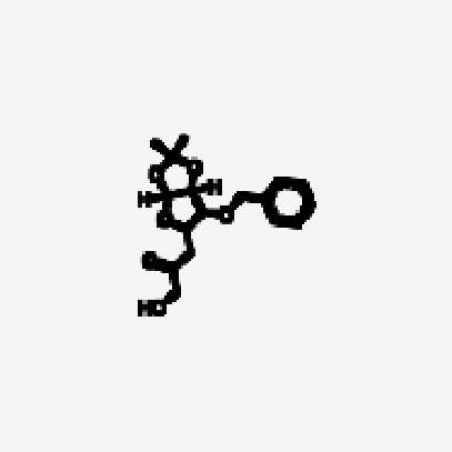 CC1(C)O[C@H]2O[C@H](CC(=O)CO)[C@H](OCc3ccccc3)[C@H]2O1